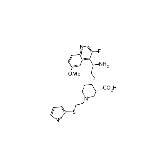 COc1ccc2ncc(F)c([C@@H](N)CC[C@H]3CCN(CCSc4cccnc4)C[C@H]3C(=O)O)c2c1